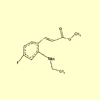 CCNc1cc(F)ccc1C=CC(=O)OC